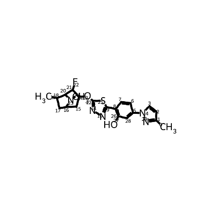 Cc1ccn(-c2ccc(-c3nnc(OC4CC5CC(C)C(C4F)N5C)s3)c(O)c2)n1